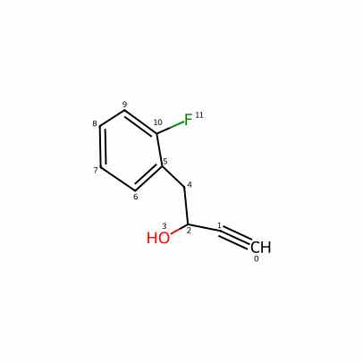 C#CC(O)Cc1ccccc1F